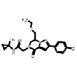 N#CC1(NC(=O)CN2CC(COCC(F)(F)F)n3nc(-c4ccc(Cl)cc4)cc3C2=O)CC1